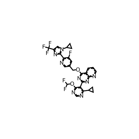 Fc1cc(COc2nc(-c3c(OC(F)F)ncnc3C3CC3)nc3ncccc23)cnc1-c1nc(C(F)(F)F)cn1C1CC1